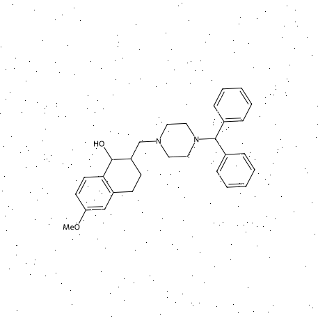 COc1ccc2c(c1)CCC(CN1CCN(C(c3ccccc3)c3ccccc3)CC1)C2O